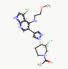 COCCNc1c(-c2cnn([C@H]3CCN(C(C)=O)C[C@@H]3F)c2)cnc2[nH]cc(Cl)c12